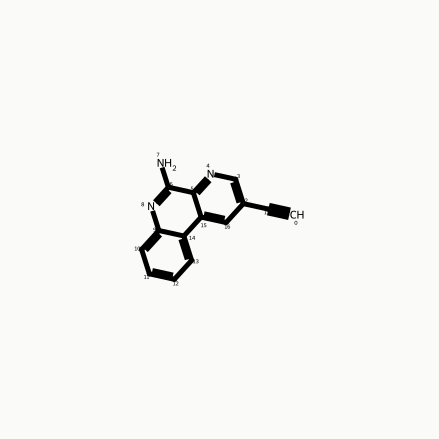 C#Cc1cnc2c(N)nc3ccccc3c2c1